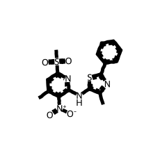 Cc1cc(S(C)(=O)=O)nc(Nc2sc(-c3ccccc3)nc2C)c1[N+](=O)[O-]